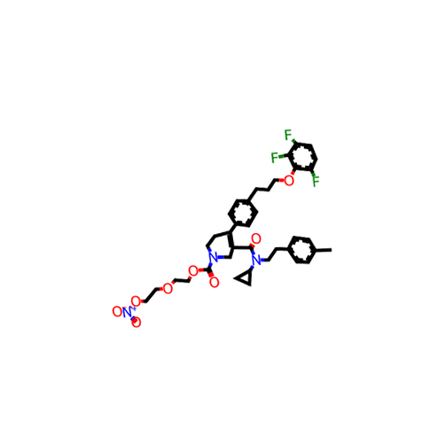 Cc1ccc(CCN(C(=O)C2=C(c3ccc(CCCOc4c(F)ccc(F)c4F)cc3)CCN(C(=O)OCCOCCO[N+](=O)[O-])C2)C2CC2)cc1